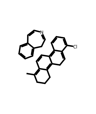 C1=Cc2ccccc2CC=N1.CC1=c2ccc3c(c2CCC1)CC=c1c(Cl)cccc1=3